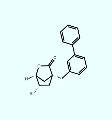 O=C1O[C@H]2C[C@]1(Cc1cccc(-c3ccccc3)c1)C[C@@H]2Br